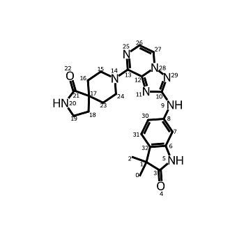 CC1(C)C(=O)Nc2cc(Nc3nc4c(N5CCC6(CCNC6=O)CC5)nccn4n3)ccc21